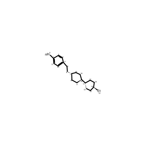 CCCc1ccc(CC[C@H]2CC[C@H]([C@H]3CC[C@H](CC)CC3)CC2)cc1